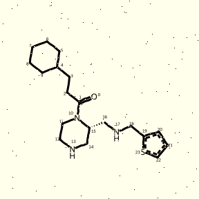 O=C(CCC1CCCCC1)N1CCNC[C@H]1CNCc1cccs1